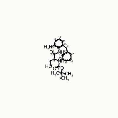 CC(C)(C)OC(=O)N[C@@H](CO)C(=O)Nc1c(N)cccc1Cc1ccccc1